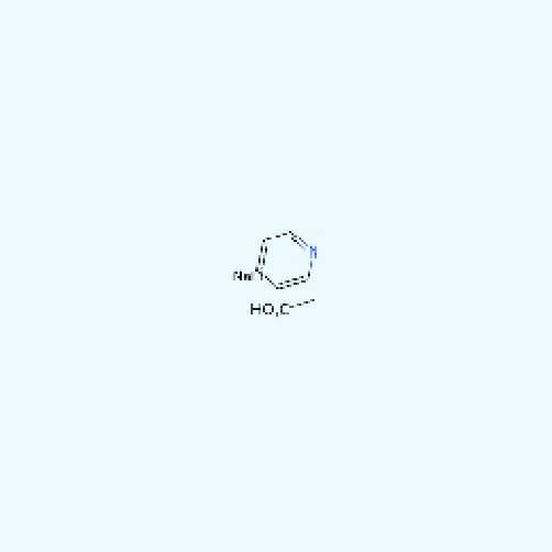 CC(=O)O.[NaH].c1ccncc1